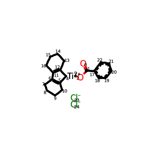 O=C([O][Ti+2][CH]1C2=C(CCCC2)C2=C1CCCC2)c1ccccc1.[Cl-].[Cl-]